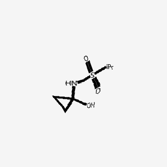 CC(C)S(=O)(=O)NC1(O)CC1